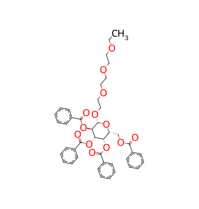 CCOCCOCCOCCO[C@@H]1O[C@H](COC(=O)c2ccccc2)[C@H](OC(=O)c2ccccc2)[C@H](OC(=O)c2ccccc2)[C@H]1OC(=O)c1ccccc1